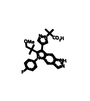 COCC(C)(C)c1c(-c2cnn(C(C)(C)C(=O)O)c2)c2cc3[nH]ncc3cc2n1-c1ccc(F)cc1